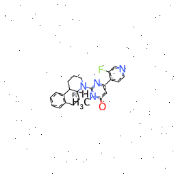 Cn1c(N2CCCC3c4ccccc4CC[C@H]32)nc(-c2ccncc2F)cc1=O